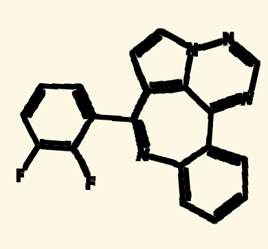 Fc1cccc(C2=Nc3ccccc3-c3ncnn4ccc2c34)c1F